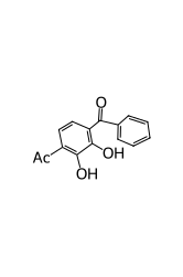 CC(=O)c1ccc(C(=O)c2ccccc2)c(O)c1O